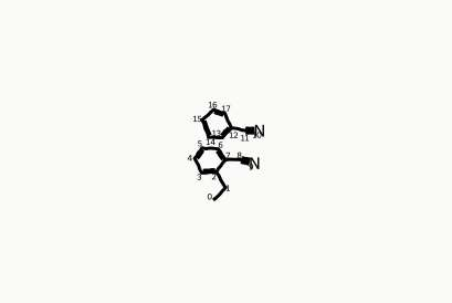 CCc1ccccc1C#N.N#Cc1ccccc1